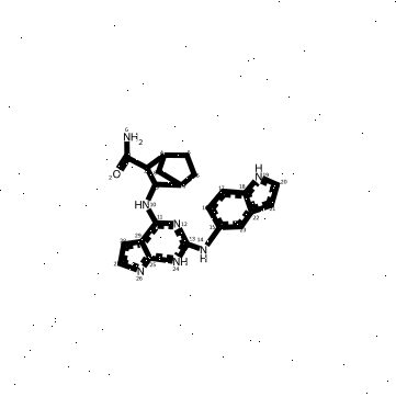 NC(=O)C1C2CCC(C2)C1Nc1nc(Nc2ccc3[nH]ccc3c2)[nH]c2nccc1-2